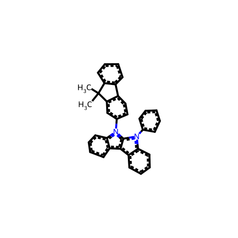 CC1(C)c2ccccc2-c2ccc(-n3c4ccccc4c4c5ccccc5n(-c5ccccc5)c43)cc21